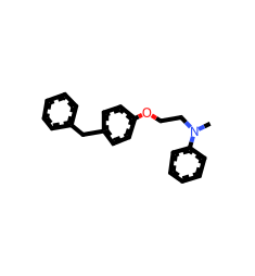 CN(CCOc1ccc(Cc2ccccc2)cc1)c1ccccc1